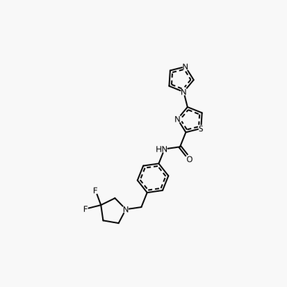 O=C(Nc1ccc(CN2CCC(F)(F)C2)cc1)c1nc(-n2ccnc2)cs1